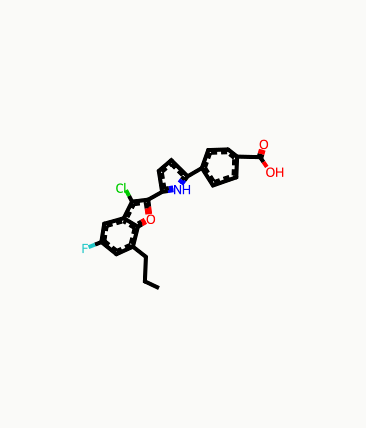 CCCc1cc(F)cc2c(Cl)c(-c3ccc(-c4ccc(C(=O)O)cc4)[nH]3)oc12